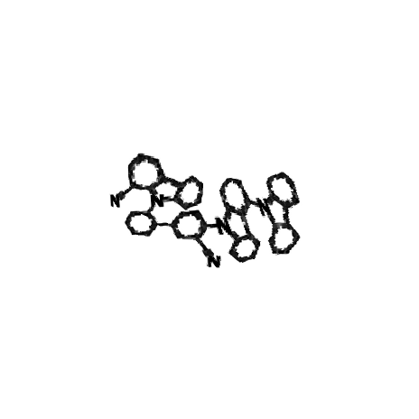 N#Cc1cc(-c2ccccc2-n2c3ccccc3c3cccc(C#N)c32)ccc1-n1c2ccccc2c2c(-n3c4ccccc4c4ccccc43)cccc21